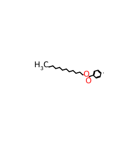 CCCCCCCCCCCCOC(=O)c1cc[c]cc1